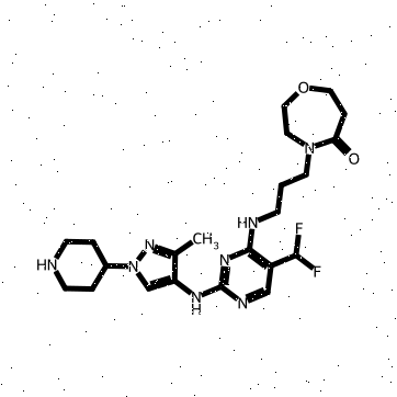 Cc1nn(C2CCNCC2)cc1Nc1ncc(C(F)F)c(NCCCN2CCOCCC2=O)n1